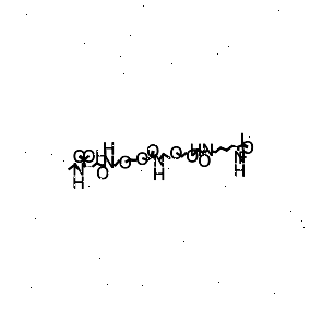 CCN[C@@H](CCC(=O)NCCOCCOCC(=O)NCCOCCOCC(=O)NCCCC[C@H](NF)C(=O)I)C(=O)O